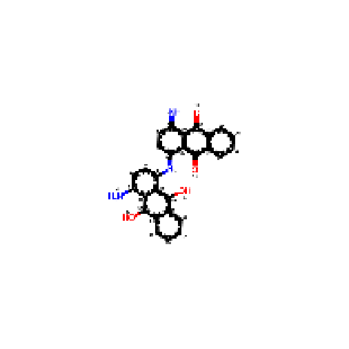 N=c1ccc(=Nc2ccc(N)c3c(O)c4ccccc4c(O)c23)c2c(=O)c3ccccc3c(=O)c1=2